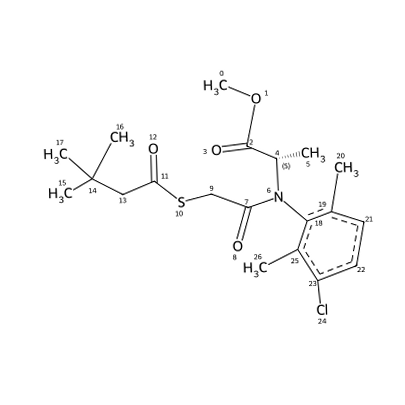 COC(=O)[C@H](C)N(C(=O)CSC(=O)CC(C)(C)C)c1c(C)ccc(Cl)c1C